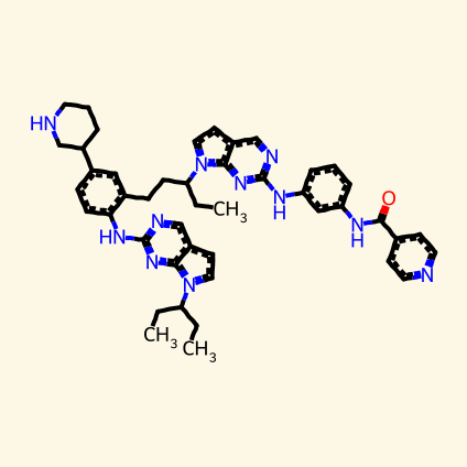 CCC(CCc1cc(C2CCCNC2)ccc1Nc1ncc2ccn(C(CC)CC)c2n1)n1ccc2cnc(Nc3cccc(NC(=O)c4ccncc4)c3)nc21